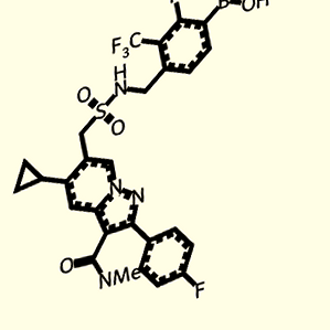 CNC(=O)c1c(-c2ccc(F)cc2)nn2cc(CS(=O)(=O)NCc3ccc(B(O)O)c(F)c3C(F)(F)F)c(C3CC3)cc12